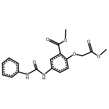 COC(=O)COc1ccc(NC(=O)Nc2ccccc2)cc1C(=O)OC